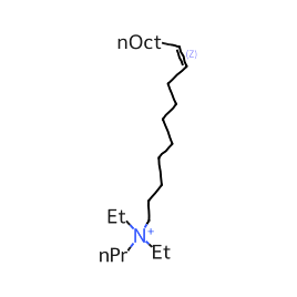 CCCCCCCC/C=C\CCCCCCCC[N+](CC)(CC)CCC